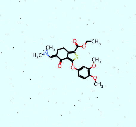 CCOC(=O)c1sc(Oc2ccc(OC)c(OC)c2)c2c1CCC(=CN(C)C)C2=O